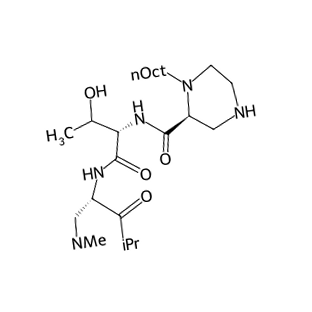 CCCCCCCCN1CCNC[C@H]1C(=O)N[C@H](C(=O)N[C@@H](CNC)C(=O)C(C)C)C(C)O